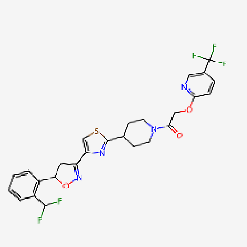 O=C(COc1ccc(C(F)(F)F)cn1)N1CCC(c2nc(C3=NOC(c4[c]cccc4C(F)F)C3)cs2)CC1